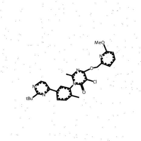 COc1cccc(COc2nc(C)n(-c3cc(-c4ccnc(C(C)(C)C)n4)ccc3C)c(=O)c2Cl)n1